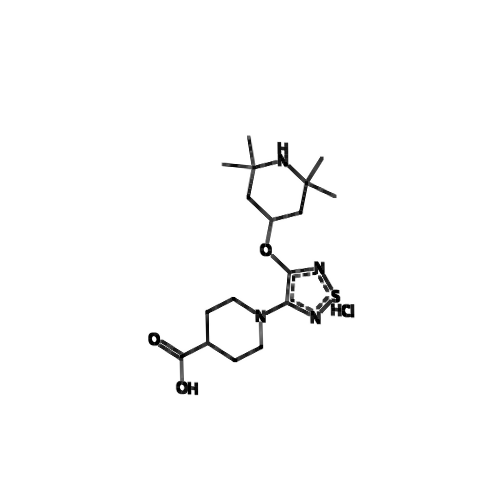 CC1(C)CC(Oc2nsnc2N2CCC(C(=O)O)CC2)CC(C)(C)N1.Cl